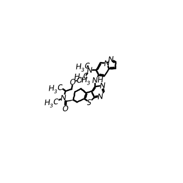 COCC(C)N(C)C(=O)[C@H]1CCc2c(sc3ncnc(Nc4cc5ccnn5cc4N(C)C)c23)C1